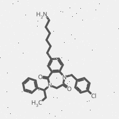 CCC(c1ccccc1)N1CC(=O)N(Cc2ccc(Cl)cc2)c2ccc(CCCCCCN)cc2C1=O